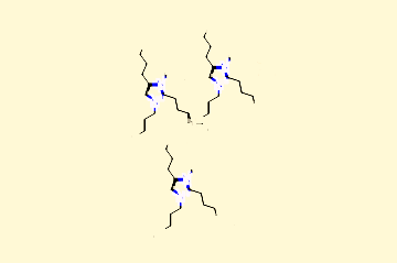 CCCCc1c[n+](CCCC)c(CCCC)n1C.CCCCc1c[n+](CCCC)c(CCCC)n1C.CCCCc1c[n+](CCCC)c(CCCC)n1C.O=P([O-])([O-])[O-]